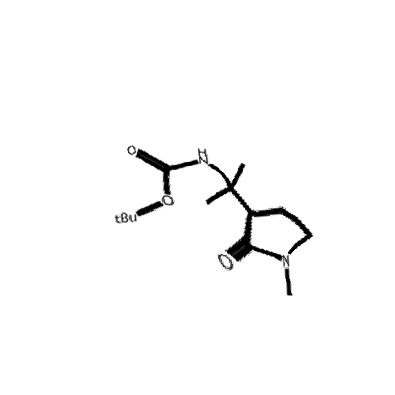 CN1CCC(C(C)(C)NC(=O)OC(C)(C)C)C1=O